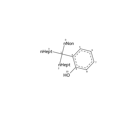 CCCCCCCCCC(CCCCCCC)(CCCCCCC)c1ccccc1O